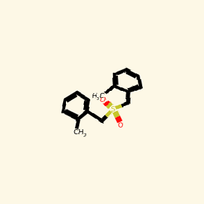 Cc1ccccc1CS(=O)(=O)Cc1ccccc1C